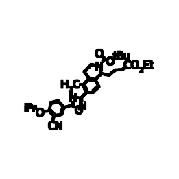 CCOC(=O)CCCC1c2ccc(-c3noc(-c4ccc(OC(C)C)c(C#N)c4)n3)c(C)c2CCN1C(=O)OC(C)(C)C